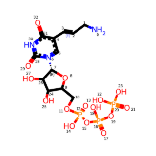 NC/C=C/c1cn([C@@H]2OC(COP(=O)(O)OP(=O)(O)OP(=O)(O)O)C(O)C2O)c(=O)[nH]c1=O